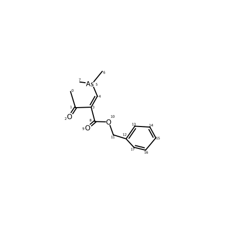 CC(=O)C(=C[As](C)C)C(=O)OCc1ccccc1